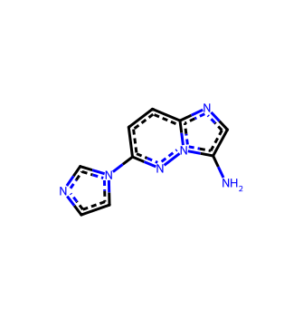 Nc1cnc2ccc(-n3ccnc3)nn12